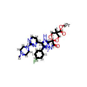 CC(C)OC(=O)C1(C)COC(C(N)=O)(c2nc(-c3ccc(F)cc3)c(-c3ccnc(N4CCN(C)CC4)n3)[nH]2)OC1